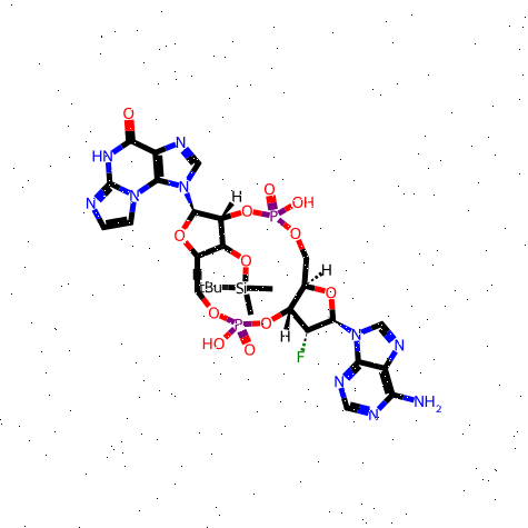 CC(C)(C)[Si](C)(C)OC1[C@H]2OP(=O)(O)OC[C@H]3O[C@@H](n4cnc5c(N)ncnc54)[C@H](F)[C@@H]3OP(=O)(O)OC[C@H]1O[C@H]2n1cnc2c(=O)[nH]c3nccn3c21